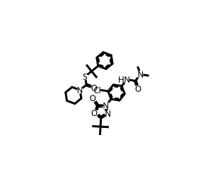 CC(C)(SC(=O)N1CCCCC1)c1ccccc1.CN(C)C(=O)Nc1ccc(-n2nc(C(C)(C)C)oc2=O)c(Cl)c1